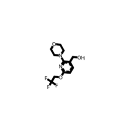 OCc1ccc(OCC(F)(F)F)nc1N1CCOCC1